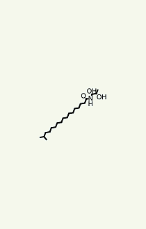 CC(C)CCCCCCCCCCCCCCC(=O)NC(O)C(C)O